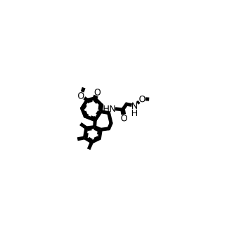 CONCC(=O)N[C@H]1CCc2cc(C)c(C)c(C)c2-c2ccc(OC)c(=O)cc21